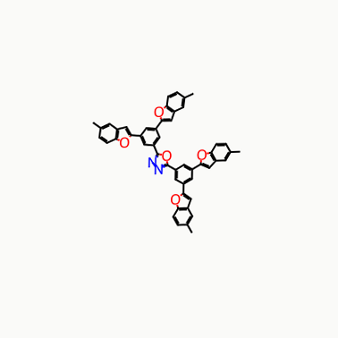 Cc1ccc2oc(-c3cc(-c4cc5cc(C)ccc5o4)cc(-c4nnc(-c5cc(-c6cc7cc(C)ccc7o6)cc(-c6cc7cc(C)ccc7o6)c5)o4)c3)cc2c1